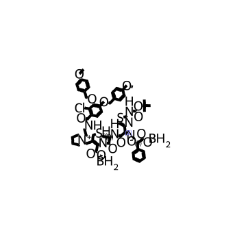 BOC(=O)C1=C(C[N+]2(CCNC(=O)c3ccc(OCc4ccc(OC)cc4)c(OCc4ccc(OC)cc4)c3Cl)CCCC2)CS[C@@H]2[C@H](NC(=O)/C(=N\O[C@H](C(=O)OB)c3ccccc3)c3csc(NC(=O)OC(C)(C)C)n3)C(=O)N12